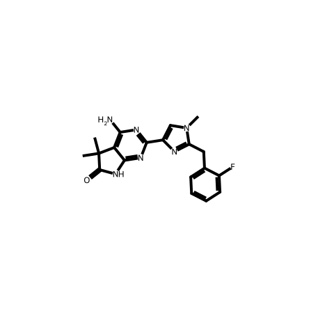 Cn1cc(-c2nc(N)c3c(n2)NC(=O)C3(C)C)nc1Cc1ccccc1F